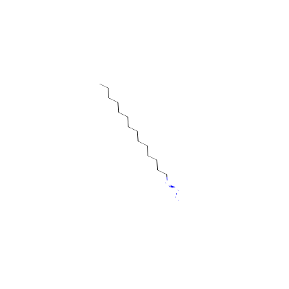 CCCCCCCCCCCCCCN=NN